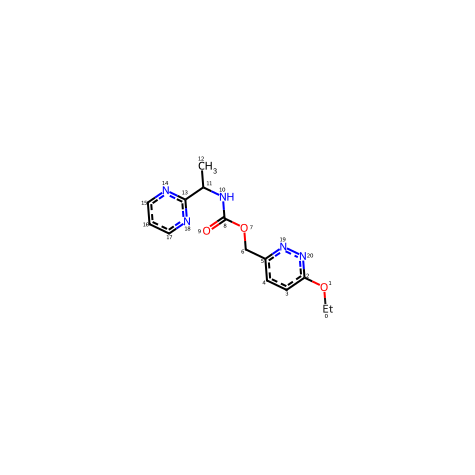 CCOc1ccc(COC(=O)NC(C)c2ncccn2)nn1